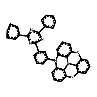 c1ccc(-c2nc(-c3ccccc3)nc(-c3cccc(N4c5cccc6c5B5c7c(cccc7Sc7cccc4c75)S6)c3)n2)cc1